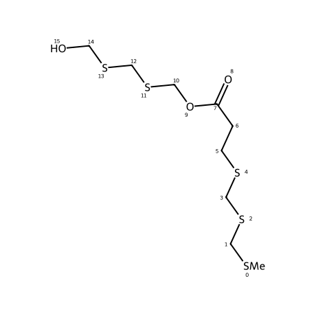 CSCSCSCCC(=O)OCSCSCO